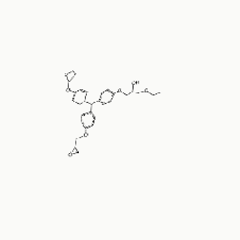 CCOCC(O)COc1ccc(C(c2ccc(OCC3CO3)cc2)C2C=CC(OC3CCO3)=CC2)cc1